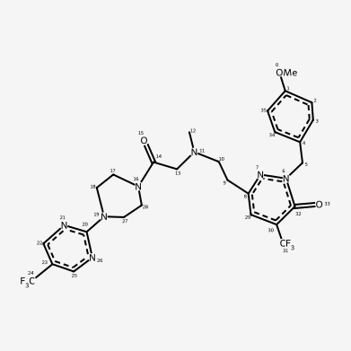 COc1ccc(Cn2nc(CCN(C)CC(=O)N3CCN(c4ncc(C(F)(F)F)cn4)CC3)cc(C(F)(F)F)c2=O)cc1